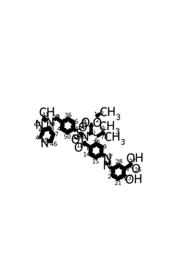 CCOC(=O)[C@H](CC(C)C)N(C(=O)c1ccc(N=Nc2ccc(O)c(C(=O)O)c2)cc1)S(=O)(=O)c1ccc(Cn2c(C)nc3cnccc32)cc1